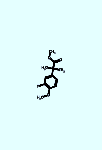 COC(=O)C(C)(C)c1ccc(OC)c(F)c1